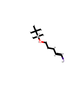 CC(C)(C)[Si](C)(C)OCCCC=CI